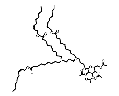 CCCCCC/C=C\COC(=O)CCCCCCCCN(CCCCCCCCC(=O)OC/C=C\CCCCCC)CCCN(CCCCCCCCC(=O)OC/C=C\CCCCCC)CCCOC1OC(COC(C)=O)C(OC(C)=O)C(OC(C)=O)C1OC(C)=O